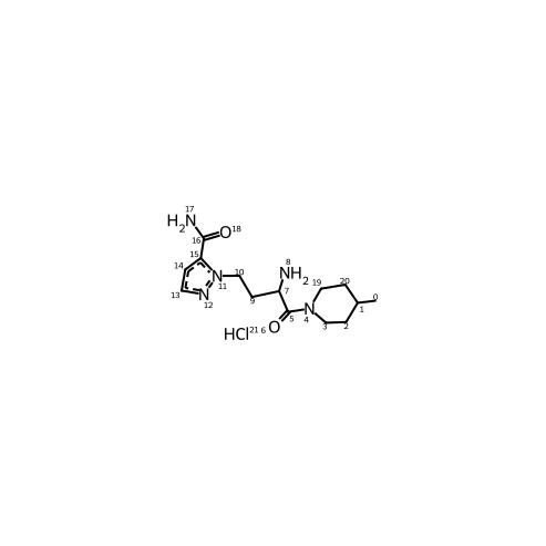 CC1CCN(C(=O)C(N)CCn2nccc2C(N)=O)CC1.Cl